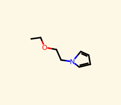 CCOCCn1cccc1